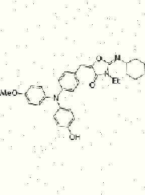 CCN1C(=O)/C(=C\c2ccc(N(c3ccc(O)cc3)c3ccc(OC)cc3)cc2)O/C1=N/C1CCCCC1